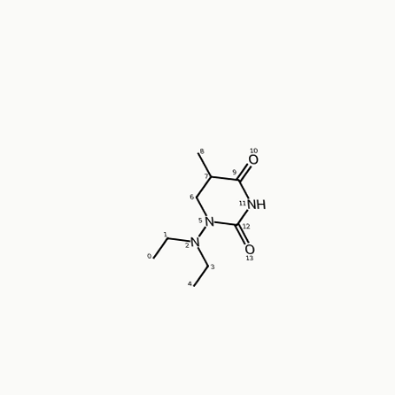 CCN(CC)N1CC(C)C(=O)NC1=O